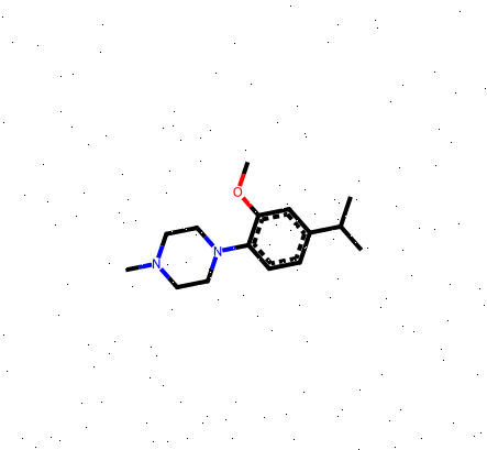 COc1cc(C(C)C)ccc1N1CCN(C)CC1